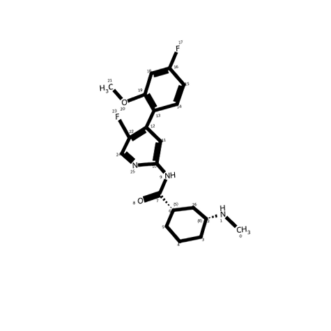 CN[C@@H]1CCC[C@H](C(=O)Nc2cc(-c3ccc(F)cc3OC)c(F)cn2)C1